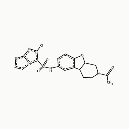 CC(=O)N1CCC2c3cc(NS(=O)(=O)c4c(Cl)nc5sccn45)ccc3OC2C1